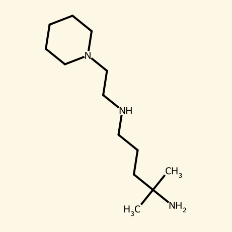 CC(C)(N)CCCNCCN1CCCCC1